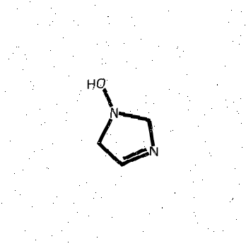 ON1CC=NC1